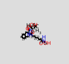 CC(C)C[C@H](NC(=O)[C@@H]1Cc2ccccc2CN1C(=O)CCCCCCC(=O)NO)C(=O)O